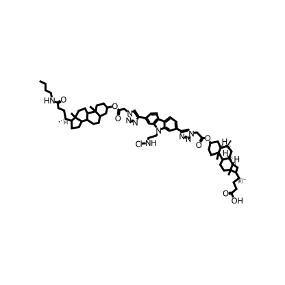 CCCCNC(=O)CC[C@@H](C)C1CCC2C3CCC4CC(OC(=O)Cn5cc(-c6ccc7c8ccc(-c9cn(CC(=O)OC%10CCC%11(C)C%12CCC%13(C)C([C@H](C)CCC(=O)O)C[C@H]%13[C@@H]%12C[C@H](C)[C@@H]%11C%10)nn9)cc8n(CCNCl)c7c6)nn5)CCC4(C)C3CCC21C